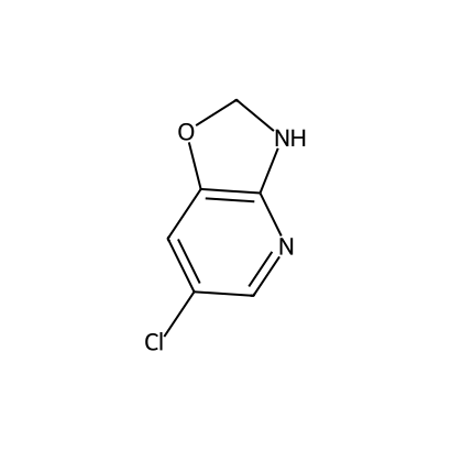 Clc1cnc2c(c1)OCN2